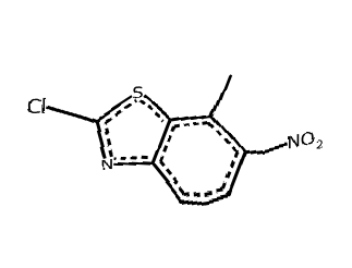 Cc1c([N+](=O)[O-])ccc2nc(Cl)sc12